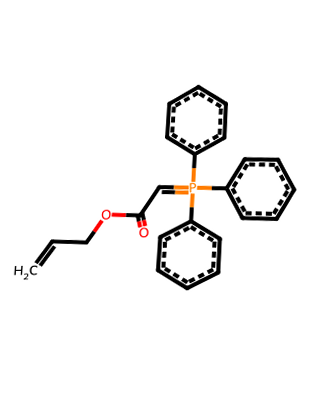 C=CCOC(=O)C=P(c1ccccc1)(c1ccccc1)c1ccccc1